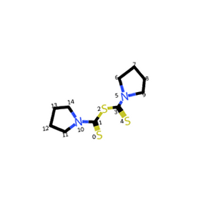 S=C(SC(=S)N1CCCC1)N1CCCC1